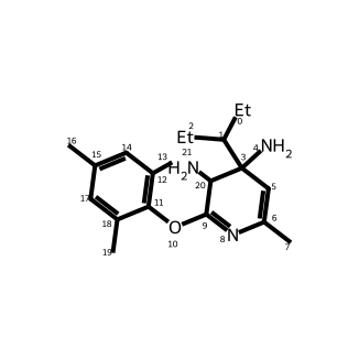 CCC(CC)C1(N)C=C(C)N=C(Oc2c(C)cc(C)cc2C)C1N